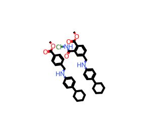 COC(=O)c1ccc(CNc2ccc(C3CCCCC3)cc2)cc1.COC(=O)c1ccc(CNc2ccc(C3CCCCC3)cc2)cc1C(=O)NCl